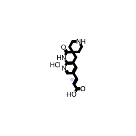 Cl.O=C(O)/C=C/c1cnc2c(c1)CC1(CCNCC1)C(=O)N2